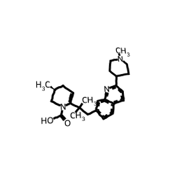 C[C@H]1CC=C(C(C)(C)Cc2ccc3ccc(C4CCN(C)CC4)nc3c2)N(C(=O)O)C1